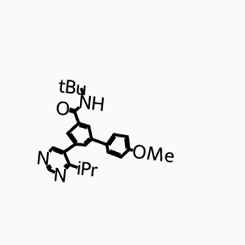 COc1ccc(-c2cc(C(=O)NC(C)(C)C)cc(-c3cncnc3C(C)C)c2)cc1